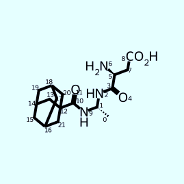 C[C@@H](NC(=O)[C@@H](N)CC(=O)O)NC(=O)C12CC3CC(CC(C3)C1)C2